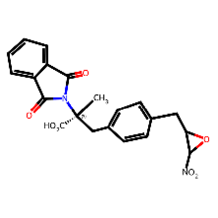 C[C@](Cc1ccc(CC2OC2[N+](=O)[O-])cc1)(C(=O)O)N1C(=O)c2ccccc2C1=O